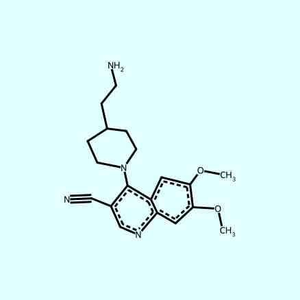 COc1cc2ncc(C#N)c(N3CCC(CCN)CC3)c2cc1OC